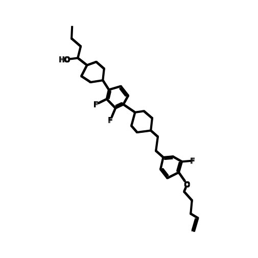 C=CCCCOc1ccc(CCC2CCC(c3ccc(C4CCC(C(O)CCC)CC4)c(F)c3F)CC2)cc1F